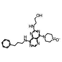 [O-][S+]1CCN(c2nc(NCCO)nc3c(NCCCc4ccccc4)ncnc23)CC1